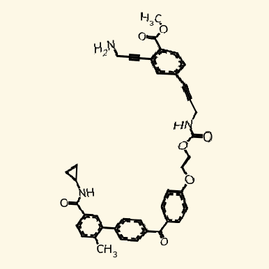 COC(=O)c1ccc(C#CCNC(=O)OCCOc2ccc(C(=O)c3ccc(-c4cc(C(=O)NC5CC5)ccc4C)cc3)cc2)cc1C#CCN